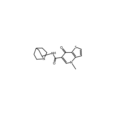 Cn1cc(C(=O)NC2CC3CCN2CC3)c(=O)c2sccc21